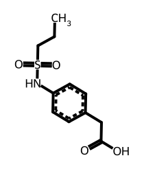 CCCS(=O)(=O)Nc1ccc(CC(=O)O)cc1